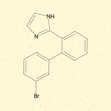 Brc1cccc(-c2ccccc2-c2ncc[nH]2)c1